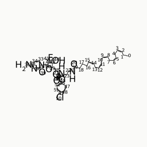 CC/C=C\C/C=C\C/C=C\C/C=C\C/C=C\CCCC(=O)NCCNP(=O)(OC[C@H]1O[C@@H](n2ccc(N)nc2=O)[C@](C)(F)[C@@H]1O)Oc1ccc(Cl)cc1